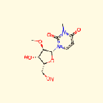 CO[C@@H]1[C@@H](O)[C@@H](CO)O[C@H]1n1ccc(=O)n(C)c1=O